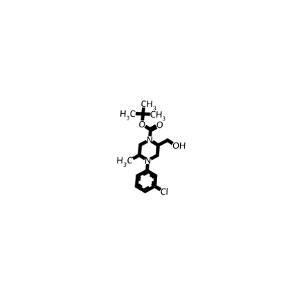 CC1CN(C(=O)OC(C)(C)C)C(CO)CN1c1cccc(Cl)c1